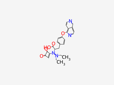 CCN(CC)N(c1cc(=O)c1=O)C(Cc1ccc(Oc2nccc3cnccc23)cc1)C(=O)O